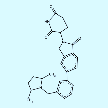 CC1CCC(C)N1Cc1ccnc(-c2ccc3c(c2)CN(C2CCC(=O)NC2=O)C3=O)c1